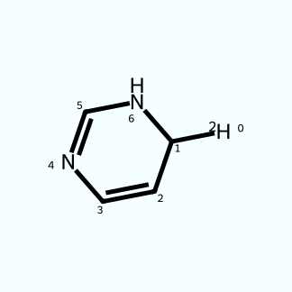 [2H]C1C=CN=CN1